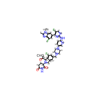 Cc1nc2c(F)cc(-c3nc(Nc4ccc(N5CCN(Cc6cc(F)c7c(c6)CN(C6CCC(=O)NC6=O)C7C(=O)C=O)CC5)cn4)ncc3F)cc2n1C(C)C